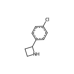 Clc1ccc(C2CCN2)cc1